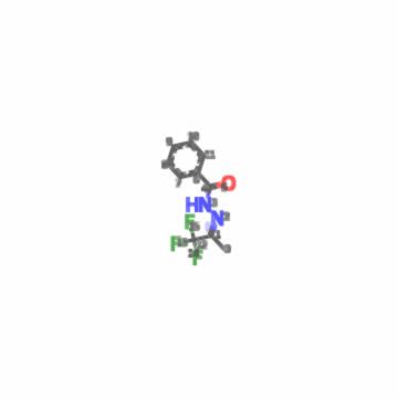 C/C(=N/NC(=O)c1ccccc1)C(F)(F)F